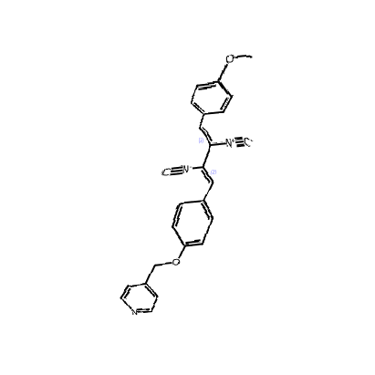 [C-]#[N+]C(=C\c1ccc(OC)cc1)/C(=C/c1ccc(OCc2ccncc2)cc1)[N+]#[C-]